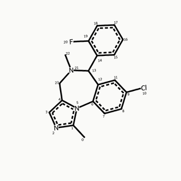 Cc1ncc2n1-c1ccc(Cl)cc1C(c1ccccc1F)N(C)C2